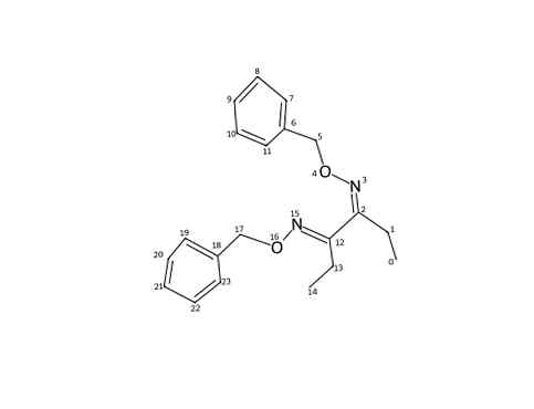 CCC(=NOCc1ccccc1)C(CC)=NOCc1ccccc1